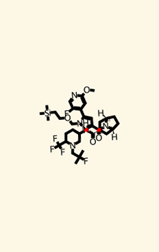 COc1cc(-c2cc(C(=O)N3[C@@H]4CC[C@H]3C[C@H](C(=O)NC3CCC(C(F)(F)F)N(CC(C)(C)F)C3)C4)nn2COCC[Si](C)(C)C)c(F)cn1